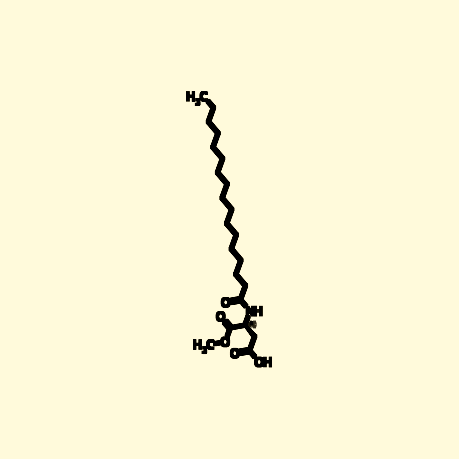 CCCCCCCCCCCCCCCCC(=O)N[C@@H](CC(=O)O)C(=O)OC